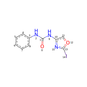 O=C(Nc1ccccc1)Nc1coc(I)n1